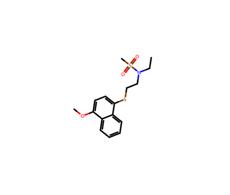 CCN(CCSc1ccc(OC)c2ccccc12)S(C)(=O)=O